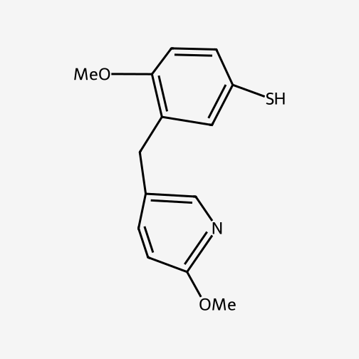 COc1ccc(Cc2cc(S)ccc2OC)cn1